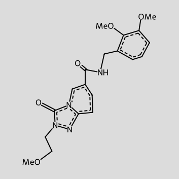 COCCn1nc2ccc(C(=O)NCc3cccc(OC)c3OC)cn2c1=O